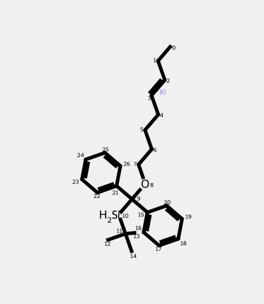 CC/C=C/CCCCOC([SiH2]C(C)(C)C)(c1ccccc1)c1ccccc1